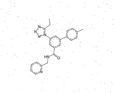 CCc1nnnn1-c1cc(C(=O)NCc2ccccn2)cc(-c2ccc(C)cc2)c1